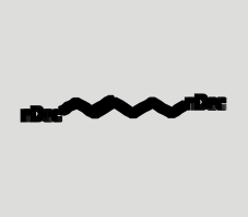 [CH2]CCCCCCCCCCC=CCCCCCCCCCCCC[CH2]